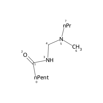 CCCCCC(=O)NCN(C)CCC